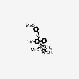 COCN(c1noc(C)c1C)S(=O)(=O)c1ccccc1-c1ccc(C=O)cc1COCc1ccc(OC)cc1